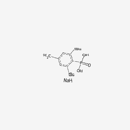 [CH2]c1cc(C(C)(C)C)c(P(=O)(O)O)c(C(C)(C)C)c1.[NaH]